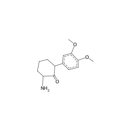 COc1ccc(C2CCCC(N)C2=O)cc1OC